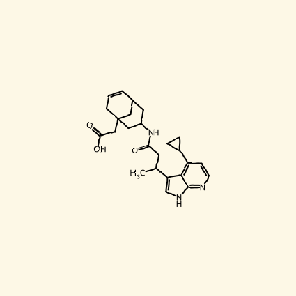 CC(CC(=O)NC1CC2C=CCC(CC(=O)O)(C2)C1)c1c[nH]c2nccc(C3CC3)c12